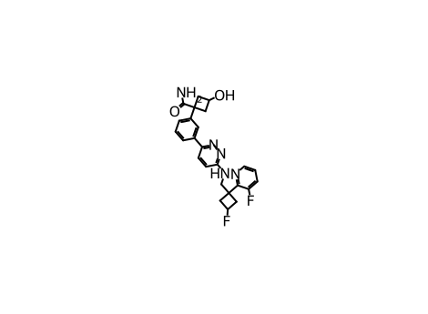 NC(=O)C1(c2cccc(-c3ccc(NCC4(c5ncccc5F)CC(F)C4)nn3)c2)CC(O)C1